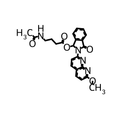 COc1ccc2ccc(N3C(=O)c4ccccc4C3OC(=O)CCCNC(C)=O)nc2n1